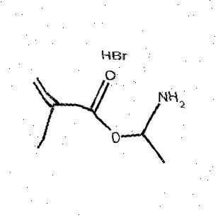 Br.C=C(C)C(=O)OC(C)N